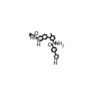 Cc1ccc(N(N)C(=O)c2ccc(C3CCNC3)cc2)cc1-c1ccc2c(c1)=CNC(NC(=O)C1CC1)C=2